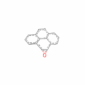 c1cc2ccc3cccc4c5oc5c(c1)c2c34